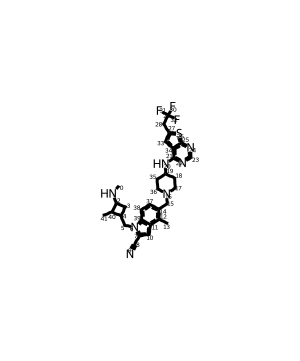 CNC1CC(Cn2c(C#N)cc3c(C)c(CN4CCC(Nc5ncnc6sc(CC(F)(F)F)cc56)CC4)ccc32)C1C